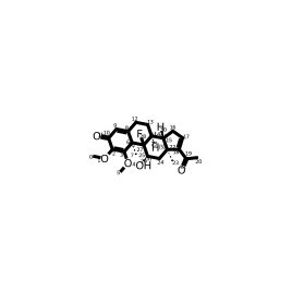 COC1=C(OC)[C@@]2(C)C(=CC1=O)CC[C@H]1[C@@H]3CC=C(C(C)=O)[C@@]3(C)C[C@H](O)C12F